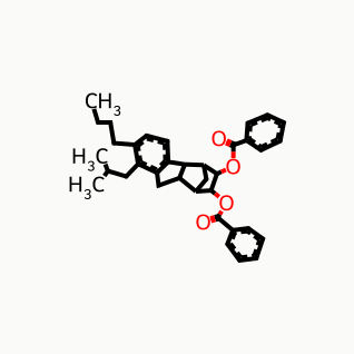 CCCCc1ccc2c(c1CC(C)C)CC1C3CC(C(OC(=O)c4ccccc4)C3OC(=O)c3ccccc3)C21